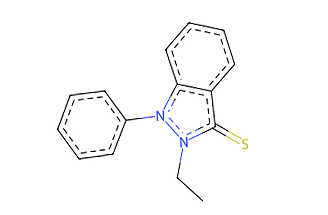 CCn1c(=S)c2ccccc2n1-c1ccccc1